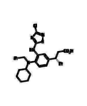 CC[C@@H](CC(=O)O)c1ccc(N(CC(C)C)C2CCCCC2)c(Nc2nc(Cl)ns2)c1